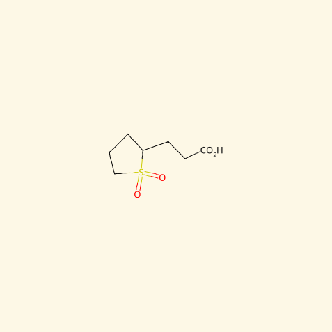 O=C(O)CCC1CCCS1(=O)=O